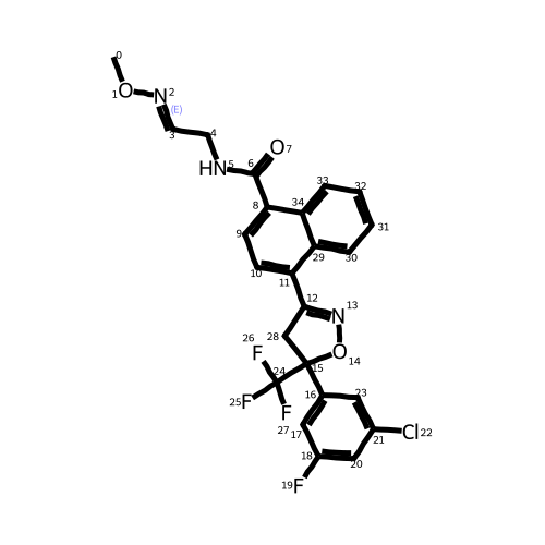 CO/N=C/CNC(=O)c1ccc(C2=NOC(c3cc(F)cc(Cl)c3)(C(F)(F)F)C2)c2ccccc12